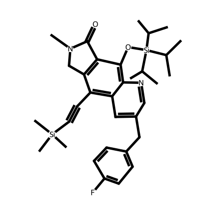 CC(C)[Si](Oc1c2c(c(C#C[Si](C)(C)C)c3cc(Cc4ccc(F)cc4)cnc13)CN(C)C2=O)(C(C)C)C(C)C